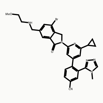 COCCNCc1cc(Br)c2c(c1)C(=O)N(c1cc(-c3ccc(C#N)cc3-c3nncn3C)cc(C3CC3)n1)C2